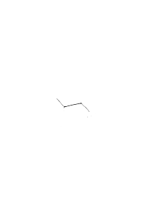 O.OCCCl